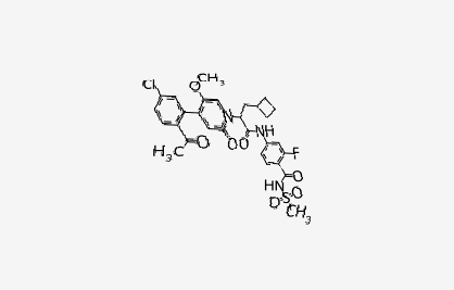 COc1cn(C(CC2CCC2)C(=O)Nc2ccc(C(=O)NS(C)(=O)=O)c(F)c2)c(=O)cc1-c1cc(Cl)ccc1C(C)=O